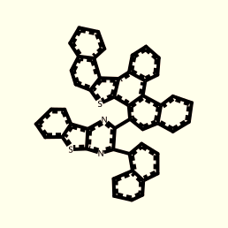 c1ccc2c(-c3nc4sc5ccccc5c4nc3-c3cc4ccccc4c4c5ccccc5c5c(sc6ccc7ccccc7c65)c34)cccc2c1